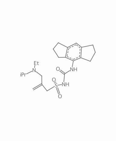 C=C(CN(CC)C(C)C)CS(=O)(=O)NC(=O)Nc1c2c(cc3c1CCC3)CCC2